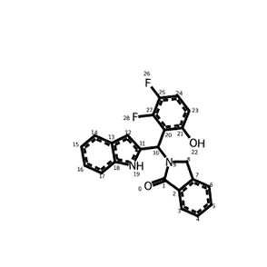 O=C1c2ccccc2CN1C(c1cc2ccccc2[nH]1)c1c(O)ccc(F)c1F